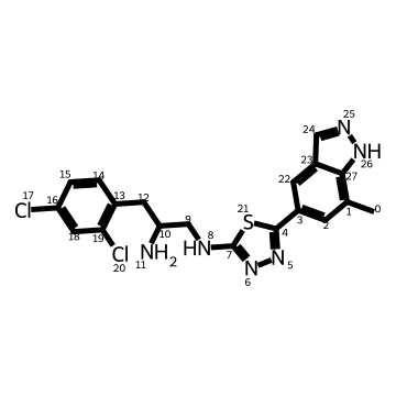 Cc1cc(-c2nnc(NCC(N)Cc3ccc(Cl)cc3Cl)s2)cc2cn[nH]c12